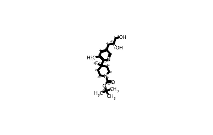 Cc1cc(C[C@@H](O)CO)cnc1C1(F)CCN(C(=O)OC(C)(C)C)CC1